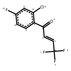 O=C(/C=C/C(F)(F)F)c1ccc(F)cc1Cl